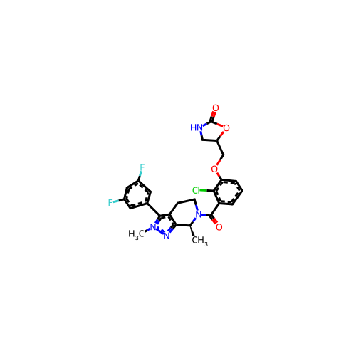 C[C@H]1c2nn(C)c(-c3cc(F)cc(F)c3)c2CCN1C(=O)c1cccc(OCC2CNC(=O)O2)c1Cl